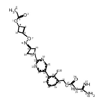 CC(=O)OC1CC(ON=C2CN(c3ncc(-c4cccc(COC(=O)NC(=N)N)c4F)cn3)C2)C1